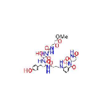 COC(=O)CC(=O)CNC(=O)CNC(=O)C(CO)NC(=O)C(CCc1ccc(O)cc1)NC(=O)CCCNc1cccc2c1C(=O)N(C1CCC(=O)NC1=O)C2=O